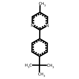 Cc1cnc(-c2ccc(C(C)(C)C)cc2)nc1